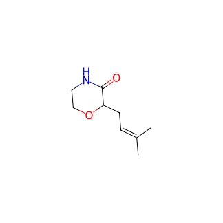 CC(C)=CCC1OCCNC1=O